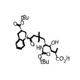 C[C@H](C[C@H](O)[C@H](CC(C)(C)CC(=O)N1C[C@H](C(=O)OC(C)(C)C)Cc2ccccc21)NC(=O)OC(C)(C)C)C(=O)O